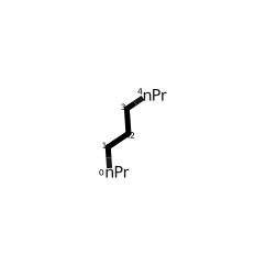 [CH2]CCC[CH]CCC[CH2]